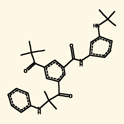 CC(C)(C)Nc1cccc(NC(=O)c2cc(C(=O)C(C)(C)C)cc(C(=O)C(C)(C)Nc3ccccc3)c2)c1